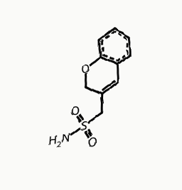 NS(=O)(=O)CC1=Cc2ccccc2OC1